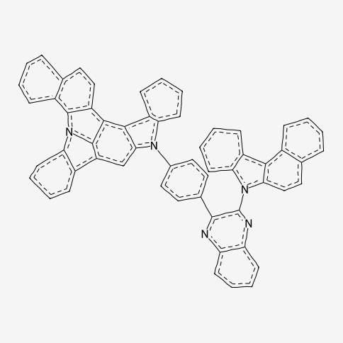 c1ccc2c(c1)ccc1c2c2ccccc2n1-c1nc2ccccc2nc1-c1ccc(-n2c3ccccc3c3c4c5ccc6ccccc6c5n5c6ccccc6c(cc32)c45)cc1